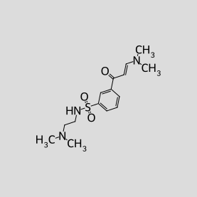 CN(C)C=CC(=O)c1cccc(S(=O)(=O)NCCN(C)C)c1